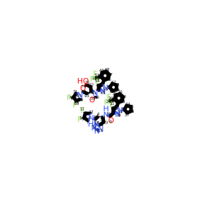 O=C(N[C@@H](CCN1C[C@H](F)[C@@H](F)C1)Cc1nnn[nH]1)c1cc(-c2ccccc2C(F)(F)F)n(C2CCCC2)n1.O=CN(c1cc(-c2ccccc2C(F)(F)F)n(C2CCCC2)n1)[C@@H](CCN1C[C@H](F)[C@@H](F)C1)CC(=O)O